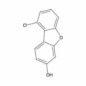 Oc1ccc2c(c1)oc1cccc(Cl)c12